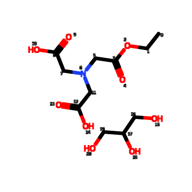 CCOC(=O)CN(CC(=O)O)CC(=O)O.OCC(O)CO